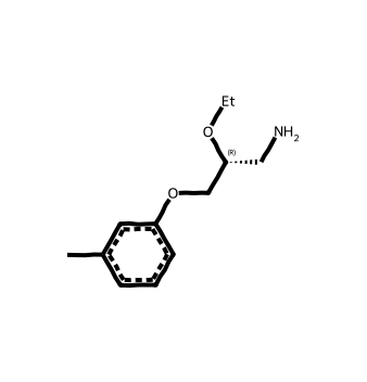 CCO[C@H](CN)COc1cccc(C)c1